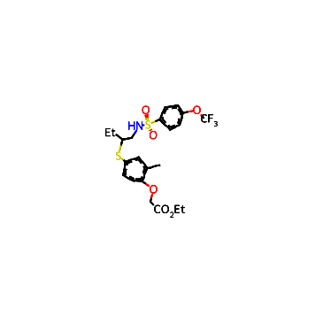 CCOC(=O)COc1ccc(SC(CC)CNS(=O)(=O)c2ccc(OC(F)(F)F)cc2)cc1C